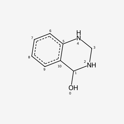 OC1NCNc2ccccc21